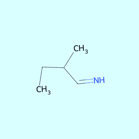 CCC(C)C=N